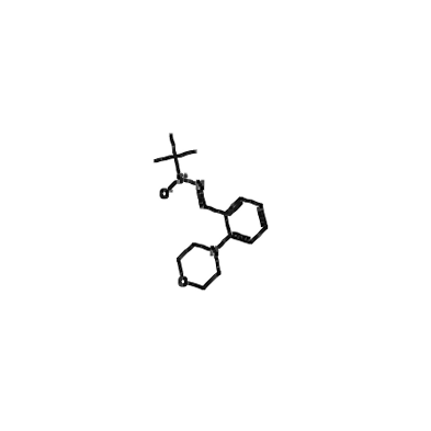 CC(C)(C)[S+]([O-])N=Cc1ccccc1N1CCOCC1